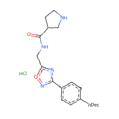 CCCCCCCCCCc1ccc(-c2noc(CNC(=O)C3CCNC3)n2)cc1.Cl